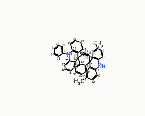 Cc1ccc2c(c1)C1(c3cc(C)ccc3N2)c2ccccc2C2(C3=C(C=CCC3)N(c3ccccc3)c3ccccc32)c2ccccc21